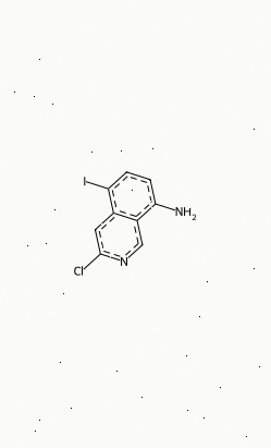 Nc1ccc(I)c2cc(Cl)ncc12